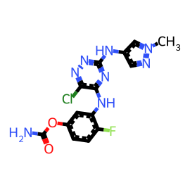 Cn1cc(Nc2nnc(Cl)c(Nc3cc(OC(N)=O)ccc3F)n2)cn1